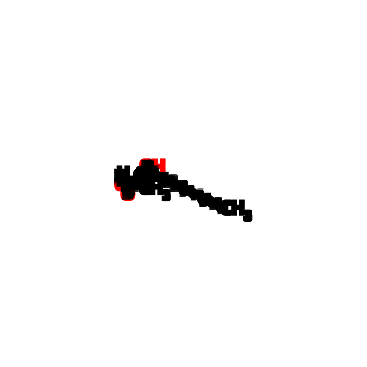 CCCCCCCCCCCCCCCCCC(C)(O)C[N+](C)(C)CCC(=O)[O-]